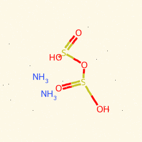 N.N.O=S(O)OS(=O)O